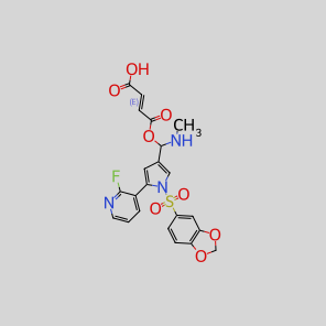 CNC(OC(=O)/C=C/C(=O)O)c1cc(-c2cccnc2F)n(S(=O)(=O)c2ccc3c(c2)OCO3)c1